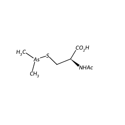 CC(=O)N[C@@H](CS[As](C)C)C(=O)O